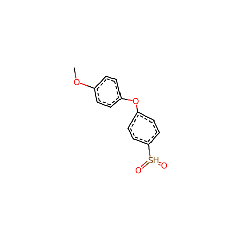 COc1ccc(Oc2ccc([SH](=O)=O)cc2)cc1